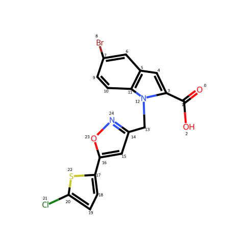 O=C(O)c1cc2cc(Br)ccc2n1Cc1cc(-c2ccc(Cl)s2)on1